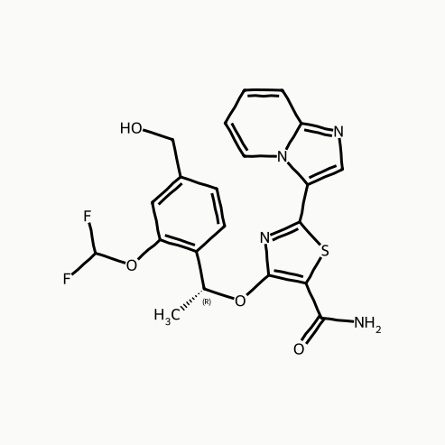 C[C@@H](Oc1nc(-c2cnc3ccccn23)sc1C(N)=O)c1ccc(CO)cc1OC(F)F